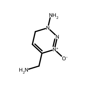 NCC1=CCN(N)N=[N+]1[O-]